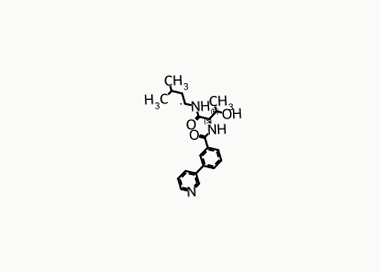 CC(C)C[CH]NC(=O)[C@@H](NC(=O)c1cccc(-c2cccnc2)c1)[C@@H](C)O